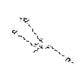 CC(=O)N[C@H]1[C@H]2OC[C@](COCCOCCOCCOCCn3cc(COCC(COCc4cn(CCOCCOCCOCCOC[C@@]56CO[C@@H](O5)[C@H](NC(C)=O)[C@@H](O)[C@H]6O)nn4)(COCc4cn(CCOCCOCCOCCOC[C@]56CO[C@H](C[C@@H](O)[C@H]5O)O6)nn4)NC(=O)CCCO)nn3)(O2)[C@H](O)[C@@H]1O